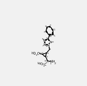 N[C@H](C(=O)O)C1C(Cn2nnc(-c3ccccc3)n2)C1C(=O)O